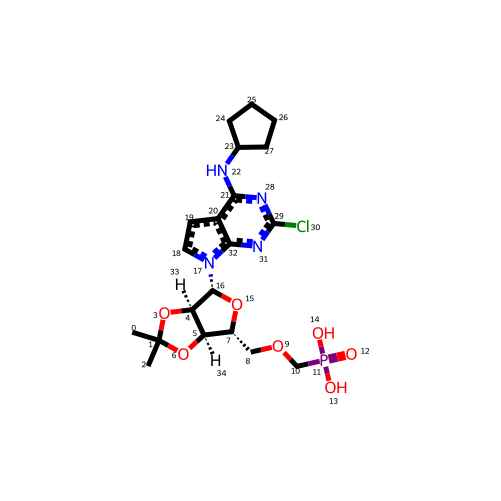 CC1(C)O[C@@H]2[C@H](O1)[C@@H](COCP(=O)(O)O)O[C@H]2n1ccc2c(NC3CCCC3)nc(Cl)nc21